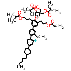 C=CC(=O)OCCCc1cc(-c2ccc(-c3ccc(C4CCC(CCCCC)CC4)cc3F)c(CC)c2)cc(CCCOC(=O)C(=C)C)c1OCC(CO)(COC(=O)C(=C)C)COC(=O)C(=C)C